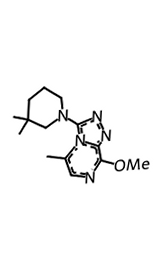 COc1ncc(C)n2c(N3CCCC(C)(C)C3)nnc12